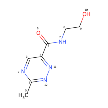 Cc1ncc(C(=O)NCCO)nn1